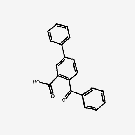 O=C(O)c1cc(-c2ccccc2)ccc1C(=O)c1ccccc1